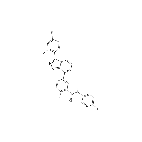 Cc1ccc(-c2cccn3c(-c4ccc(F)cc4C)nnc23)cc1C(=O)Nc1ccc(F)cc1